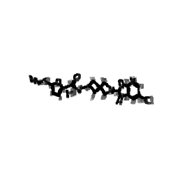 CSc1ccc(C(=O)NC2CC3(C2)CN(C2Nc4cc(Cl)cnc4O2)C3)o1